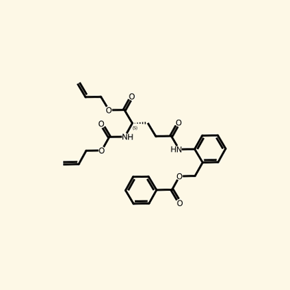 C=CCOC(=O)N[C@@H](CCC(=O)Nc1ccccc1COC(=O)c1ccccc1)C(=O)OCC=C